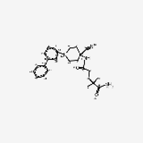 CC(C)(C[CH]C(=O)NC1(C#N)CCN(c2cccc(-c3ccccc3)c2)CC1)C(N)=O